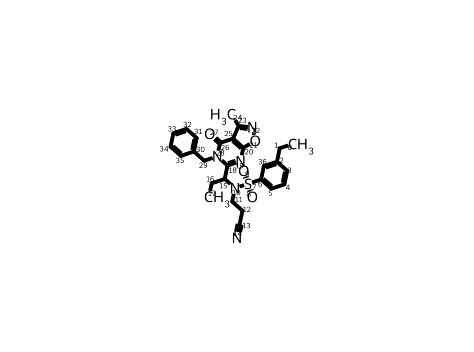 CCc1cccc(S(=O)(=O)N(CCC#N)C(CC)c2nc3onc(C)c3c(=O)n2Cc2ccccc2)c1